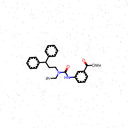 COC(=O)c1cccc(NC(=O)N(CCC(c2ccccc2)c2ccccc2)CC(C)C)c1